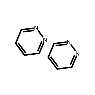 c1ccnnc1.c1ccnnc1